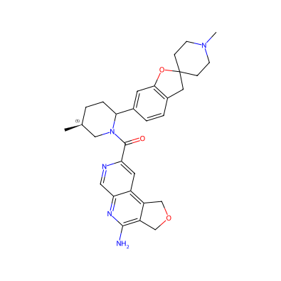 C[C@H]1CCC(c2ccc3c(c2)OC2(CCN(C)CC2)C3)N(C(=O)c2cc3c4c(c(N)nc3cn2)COC4)C1